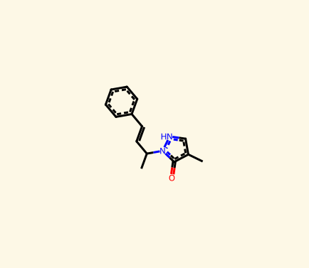 Cc1c[nH]n(C(C)C=Cc2ccccc2)c1=O